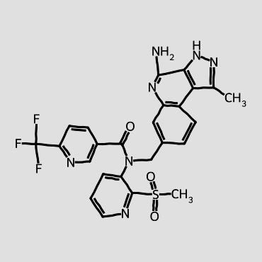 Cc1n[nH]c2c(N)nc3cc(CN(C(=O)c4ccc(C(F)(F)F)nc4)c4cccnc4S(C)(=O)=O)ccc3c12